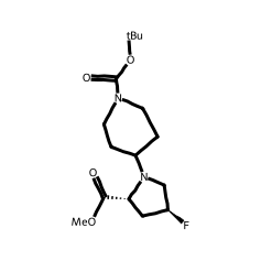 COC(=O)[C@H]1C[C@H](F)CN1C1CCN(C(=O)OC(C)(C)C)CC1